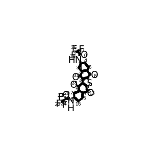 O=C(Nc1ccc2c(=O)c3sc4c(=O)c5ccc(NC(=O)C(F)(F)F)cc5c(=O)c4c3c(=O)c2c1)C(F)(F)F